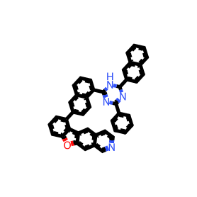 c1ccc(C2=NC(c3ccc4ccccc4c3)NC(c3cccc4cc(-c5cccc6oc7cc8cnccc8cc7c56)ccc34)=N2)cc1